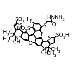 CN1c2cc3c(cc2-c2sc(S(=O)(=O)O)cc2C1(C)C)C(c1c(F)c(SCC(=O)NN)cc(F)c1S(=O)(=O)O)=c1cc2c(cc1O3)=[N+](C)C(C)(C)c1cc(S(=O)(=O)O)sc1-2